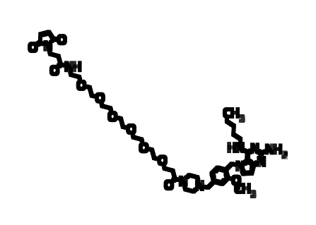 CCCCCNc1nc(N)nc2ccn(Cc3ccc(CN4CCN(C(=O)CCOCCOCCOCCOCCOCCOCCNC(=O)CCN5C(=O)C=CC5=O)CC4)cc3OC)c12